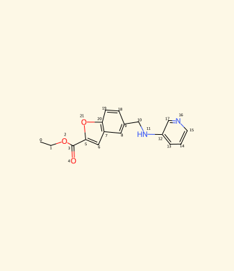 CCOC(=O)c1cc2cc(CNc3cccnc3)ccc2o1